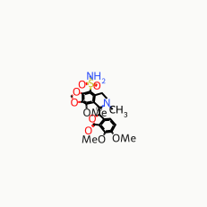 COc1ccc2c(c1OC)C(=O)OC2[C@H]1c2c(c(S(N)(=O)=O)c3c(c2OC)OCO3)CCN1C